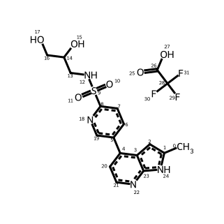 Cc1cc2c(-c3ccc(S(=O)(=O)NCC(O)CO)nc3)ccnc2[nH]1.O=C(O)C(F)(F)F